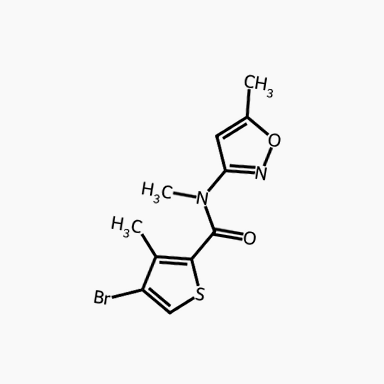 Cc1cc(N(C)C(=O)c2scc(Br)c2C)no1